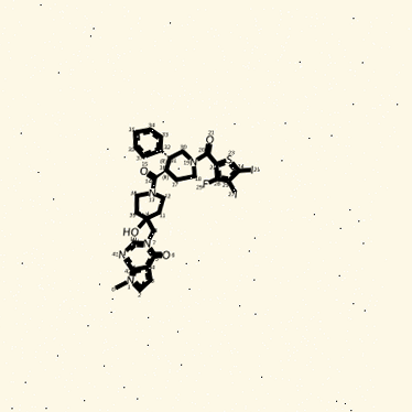 Cn1ccc2c(=O)n(CC3(O)CCN(C(=O)[C@@H]4CCN(C(=O)c5sc(I)c(I)c5F)C[C@H]4c4ccccc4)CC3)cnc21